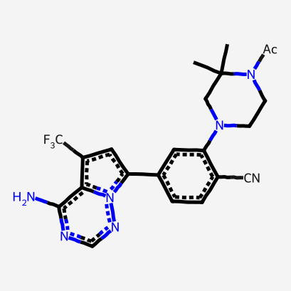 CC(=O)N1CCN(c2cc(-c3cc(C(F)(F)F)c4c(N)ncnn34)ccc2C#N)CC1(C)C